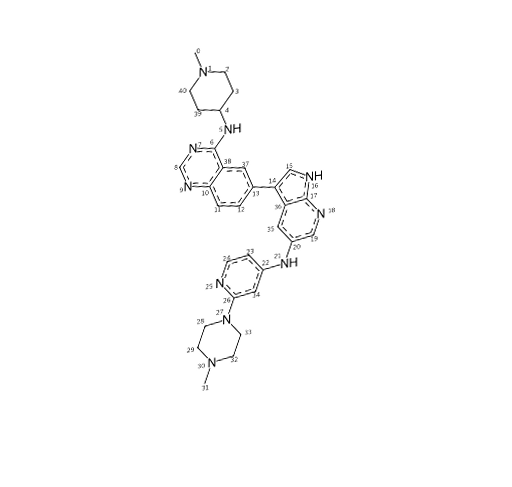 CN1CCC(Nc2ncnc3ccc(-c4c[nH]c5ncc(Nc6ccnc(N7CCN(C)CC7)c6)cc45)cc23)CC1